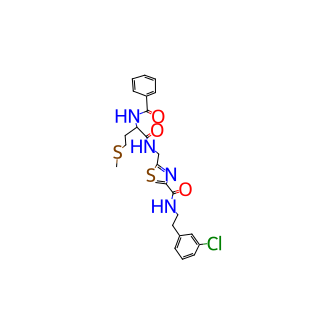 CSCCC(NC(=O)c1ccccc1)C(=O)NCc1nc(C(=O)NCCc2cccc(Cl)c2)cs1